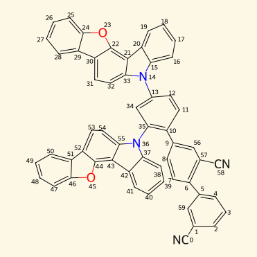 N#Cc1cccc(-c2ccc(-c3ccc(-n4c5ccccc5c5c6oc7ccccc7c6ccc54)cc3-n3c4ccccc4c4c5oc6ccccc6c5ccc43)cc2C#N)c1